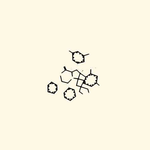 CNc1cc(Cl)ccc1[C@@]1(C=O)[C@@H](c2cc(F)cc(Cl)c2)[C@@H]2C(=O)O[C@@H](c3ccccc3)[C@@H](c3ccccc3)N2C12CC(CF)(CF)C2